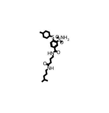 CC(C)CCCNC(=O)CCCNC(=O)c1ccc(SC2CCC(C)CC2)c(S(N)(=O)=O)c1